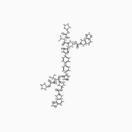 CC(C)[C@H](NC(=O)OC1CCCC1)C(=O)N1C[C@H](OC(=O)N2Cc3ccc4c(c3C2)OCO4)C[C@H]1c1nc(-c2ccc(-c3ccc(-c4cnc([C@@H]5C[C@@H](OC(=O)N6Cc7ccc8c(c7C6)OCO8)CN5C(=O)[C@@H](NC(=O)OC5CCCC5)C(C)C)[nH]4)cc3)cc2)c[nH]1